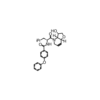 CC(C)C[C@H](NC(=O)c1ccc(Oc2ccccc2)cc1)C(=O)N1CC#C[C@H]2OC[C@H](O)[C@H]21